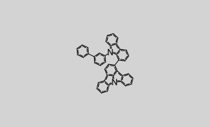 c1ccc(-c2cccc(-n3c4ccccc4c4cccc(-c5ccc6c7ccccc7n7c8ccccc8c5c67)c43)c2)cc1